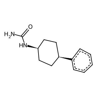 NC(=O)N[C@H]1CC[C@@H](c2ccccc2)CC1